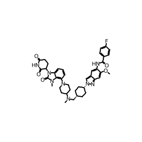 COc1cc2nn([C@H]3CC[C@H](CN(C)C4CCN(c5cccc6c5n(C)c(=O)n6C5CCC(=O)NC5=O)CC4)CC3)cc2cc1NC(=O)c1ccc(F)cc1